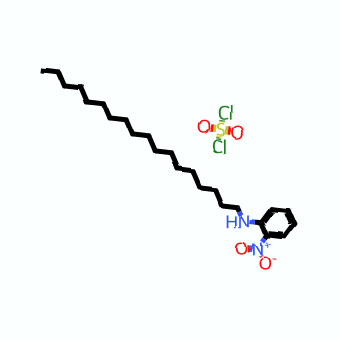 CCCCCCCCCCCCCCCCCCNc1ccccc1[N+](=O)[O-].O=S(=O)(Cl)Cl